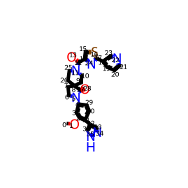 COc1cc(N2CCC3(CCN(C(=O)c4csc(-c5cccnc5)n4)CC3)C2=O)ccc1-c1cn[nH]c1